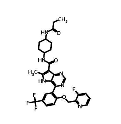 CCC(=O)NC1CCC(NC(=O)c2c(C)[nH]c3c(-c4cc(C(F)(F)F)ccc4OCc4ncccc4F)ncnc23)CC1